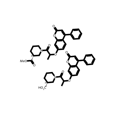 CC(Oc1ccc2c(-c3ccccc3)cc(=O)oc2c1)C(=O)N1CCC[C@@H](C(=O)O)C1.COC(=O)[C@@H]1CCCN(C(=O)C(C)Oc2ccc3c(-c4ccccc4)cc(=O)oc3c2)C1